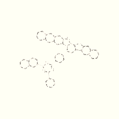 c1ccc(-c2nc(-c3ccc(-c4cc5c6cc7ccccc7cc6sc5c5nc6cc7cc8ccccc8cc7cc6n45)cc3)nc(-c3ccc4ccccc4c3)n2)cc1